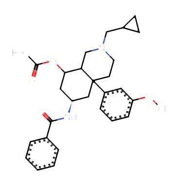 COc1cccc(C23CCN(CC4CC4)CC2C(OC(C)=O)C[C@H](NC(=O)c2ccccc2)C3)c1